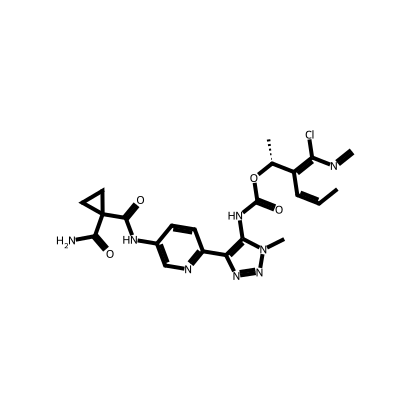 C=N/C(Cl)=C(\C=C/C)[C@@H](C)OC(=O)Nc1c(-c2ccc(NC(=O)C3(C(N)=O)CC3)cn2)nnn1C